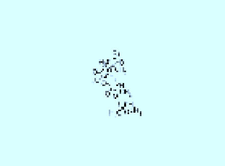 COC(C)(C)CCOC(C)(P)C(=O)COC(C)(C)C(=O)C(C)OC(C)(C)C(C)=O